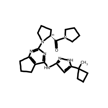 CC1(c2cc(Nc3nc(N4CCC[C@@H]4C(=O)N4CCCC4)nc4c3CCC4)n[nH]2)CCC1